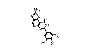 COc1cc(-c2nc3ccc4nc(N)sc4c3c(=O)[nH]2)cc(OC)c1OC